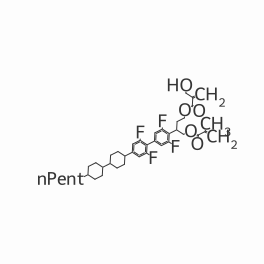 C=C(C)C(=O)OCC(CCOC(=O)C(=C)CO)c1c(F)cc(-c2c(F)cc(C3CCC(C4CCC(CCCCC)CC4)CC3)cc2F)cc1F